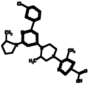 Cc1cc(C(=O)O)cnc1N1CCN(c2cc(-c3cccc(Cl)c3)nc(N3CCCC3C)c2)C(C)C1